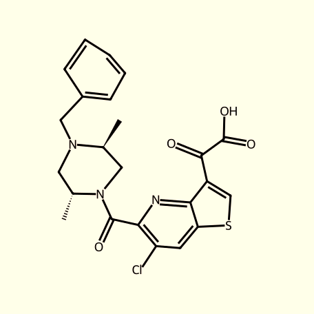 C[C@@H]1CN(Cc2ccccc2)[C@@H](C)CN1C(=O)c1nc2c(C(=O)C(=O)O)csc2cc1Cl